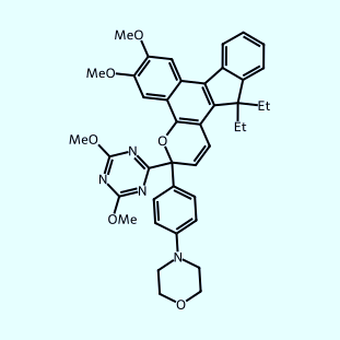 CCC1(CC)c2ccccc2-c2c1c1c(c3cc(OC)c(OC)cc23)OC(c2ccc(N3CCOCC3)cc2)(c2nc(OC)nc(OC)n2)C=C1